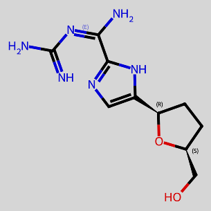 N=C(N)/N=C(/N)c1ncc([C@H]2CC[C@@H](CO)O2)[nH]1